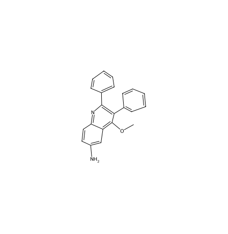 COc1c(-c2ccccc2)c(-c2ccccc2)nc2ccc(N)cc12